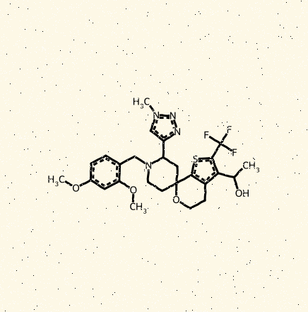 COc1ccc(CN2CCC3(CC2c2cn(C)nn2)OCCc2c3sc(C(F)(F)F)c2C(C)O)c(OC)c1